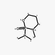 CN(C)P1(=O)OCCCN1C